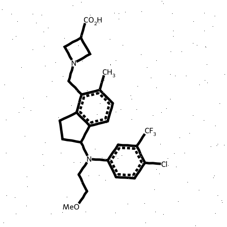 COCCN(c1ccc(Cl)c(C(F)(F)F)c1)C1CCc2c1ccc(C)c2CN1CC(C(=O)O)C1